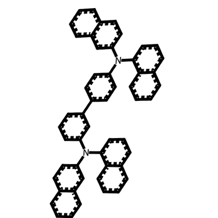 c1cc(-c2ccc(N(c3ccc4ccccc4c3)c3cccc4ccccc34)cc2)cc(N(c2ccc3ccccc3c2)c2cccc3ccccc23)c1